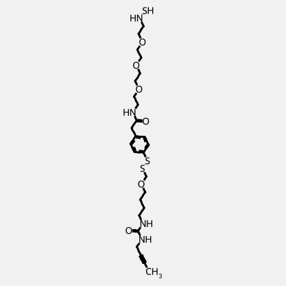 CC#CCNC(=O)NCCCCOCSSc1ccc(CC(=O)NCCOCCOCCOCCNS)cc1